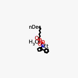 CCCCCCCCCCCCCCCC(=O)OC(C)OC(=O)N(CC)C1C2CCC(C2)C1c1ccccc1